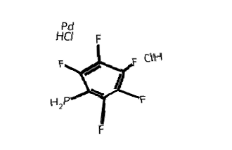 Cl.Cl.Fc1c(F)c(F)c(P)c(F)c1F.[Pd]